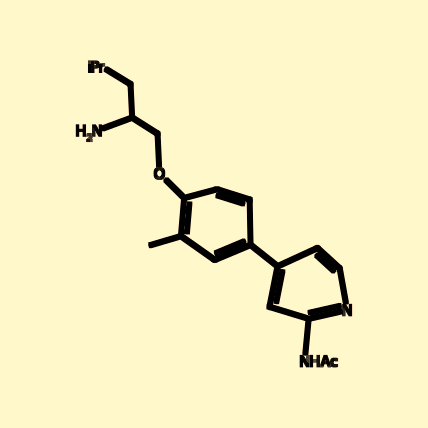 CC(=O)Nc1cc(-c2ccc(OCC(N)CC(C)C)c(C)c2)ccn1